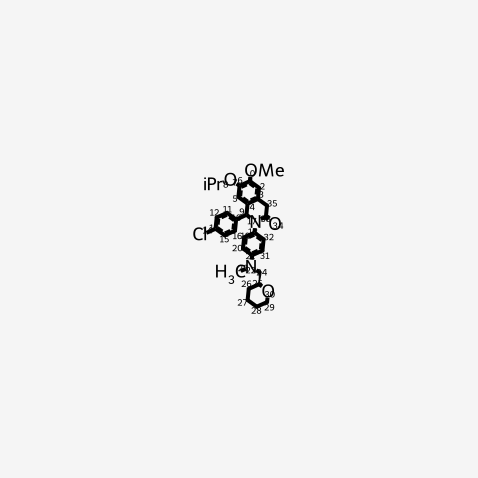 COc1cc2c(cc1OC(C)C)C(c1ccc(Cl)cc1)N(c1ccc(N(C)C[C@@H]3CCCCO3)cc1)C(=O)C2